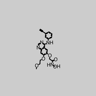 C#Cc1cccc(Nc2ncnc3cc(OCCOC)c(OCC(=O)NO)cc23)c1